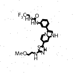 COCCNc1nnc(C2=CC3NC=C(c4cccc(NC(=O)NCC(F)(F)F)c4)N3C=C2)s1